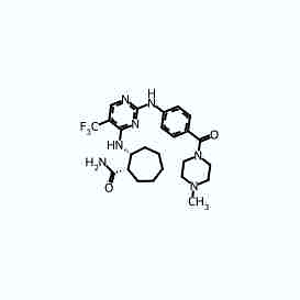 CN1CCN(C(=O)c2ccc(Nc3ncc(C(F)(F)F)c(N[C@@H]4CCCCC[C@@H]4C(N)=O)n3)cc2)CC1